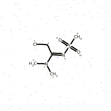 CN(C)/C(CCl)=N/S(C)(=O)=O